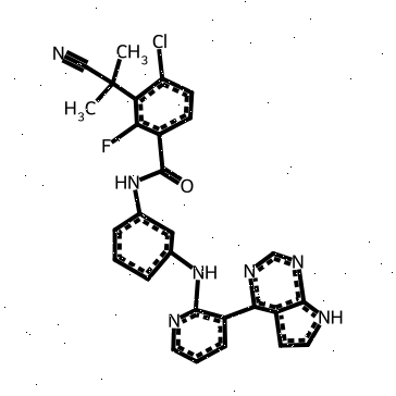 CC(C)(C#N)c1c(Cl)ccc(C(=O)Nc2cccc(Nc3ncccc3-c3ncnc4[nH]ccc34)c2)c1F